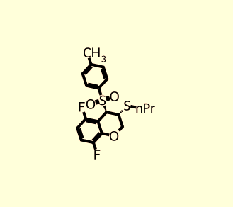 CCCS[C@@H]1COc2c(F)ccc(F)c2[C@H]1S(=O)(=O)c1ccc(C)cc1